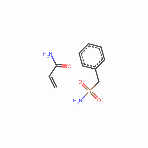 C=CC(N)=O.NS(=O)(=O)Cc1ccccc1